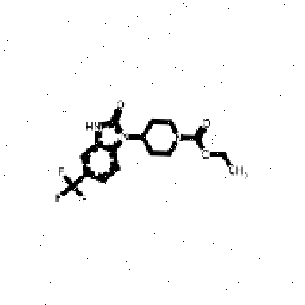 CCOC(=O)N1CCC(n2c(=O)[nH]c3cc(C(F)(F)F)ccc32)CC1